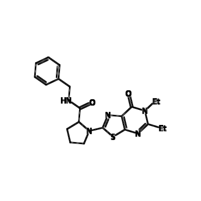 CCc1nc2sc(N3CCCC3C(=O)NCc3ccccc3)nc2c(=O)n1CC